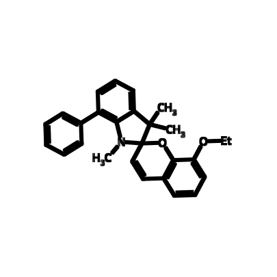 CCOc1cccc2c1OC1(C=C2)N(C)c2c(-c3ccccc3)cccc2C1(C)C